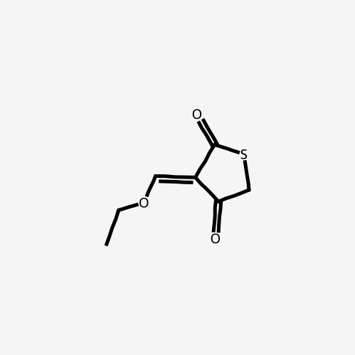 CCO/C=C1\C(=O)CSC1=O